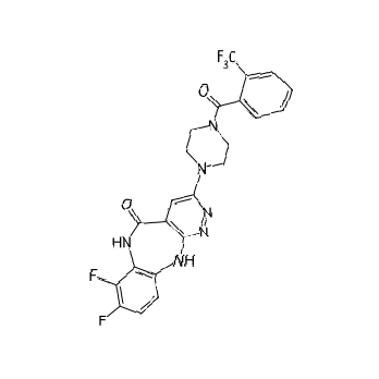 O=C1Nc2c(ccc(F)c2F)Nc2nnc(N3CCN(C(=O)c4ccccc4C(F)(F)F)CC3)cc21